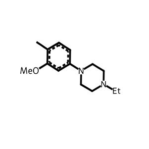 CCN1CCN(c2ccc(C)c(OC)c2)CC1